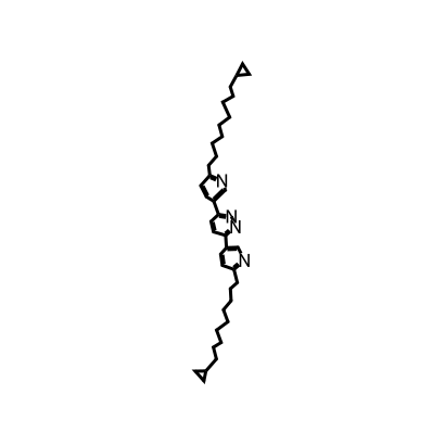 c1cc(CCCCCCCCCC2CC2)ncc1-c1ccc(-c2ccc(CCCCCCCCCC3CC3)nc2)nn1